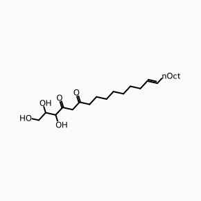 CCCCCCCCC=CCCCCCCCC(=O)CC(=O)C(O)C(O)CO